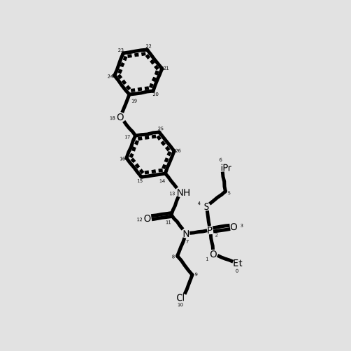 CCOP(=O)(SCC(C)C)N(CCCl)C(=O)Nc1ccc(Oc2ccccc2)cc1